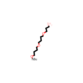 BCCCOCCCCOCCCCOCCCC